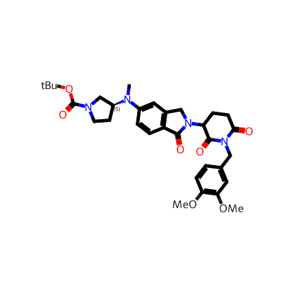 COc1ccc(CN2C(=O)CCC(N3Cc4cc(N(C)[C@H]5CCN(C(=O)OC(C)(C)C)C5)ccc4C3=O)C2=O)cc1OC